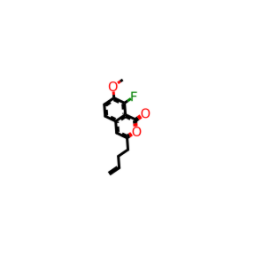 C=CCCc1cc2ccc(OC)c(F)c2c(=O)o1